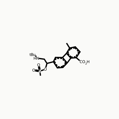 Cc1ccc(C(=O)O)c2c1-c1cc(C(CNC(C)(C)C)OS(C)(=O)=O)ccc1-2